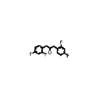 O=C(Cc1ccc(F)cc1F)Cc1ccc(F)cc1F